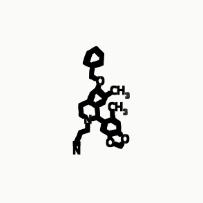 Cc1cc2c(cc1OCc1ccccc1)CCN(CCC#N)C2c1cc2c(cc1C)OCO2